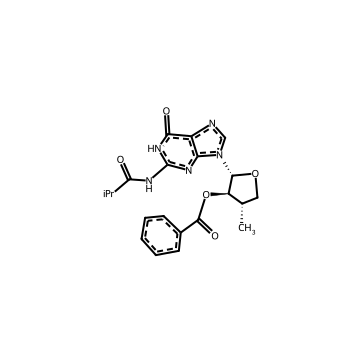 CC(C)C(=O)Nc1nc2c(ncn2[C@@H]2OC[C@H](C)[C@H]2OC(=O)c2ccccc2)c(=O)[nH]1